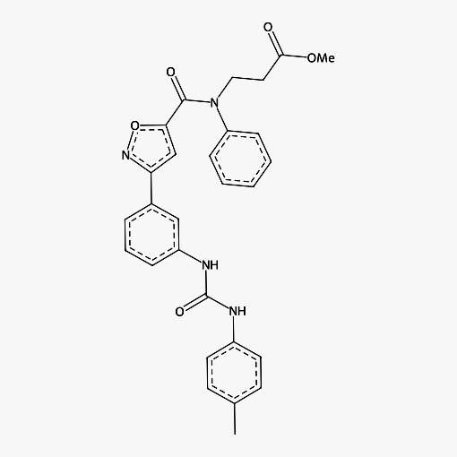 COC(=O)CCN(C(=O)c1cc(-c2cccc(NC(=O)Nc3ccc(C)cc3)c2)no1)c1ccccc1